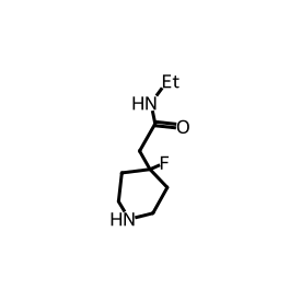 CCNC(=O)CC1(F)CCNCC1